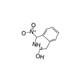 NC(c1ccccc1CCO)[N+](=O)[O-]